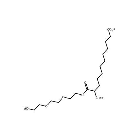 CCCCCCC(CCCCCCCCCC(=O)O)C(=O)OCCOCCOCCO